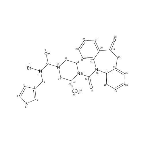 CCN(Cc1ccsc1)C(O)N1CCN(C(=O)N2c3ccccc3CC(=O)c3ccccc32)[C@H](C(=O)O)C1